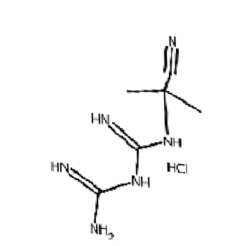 CC(C)(C#N)NC(=N)NC(=N)N.Cl